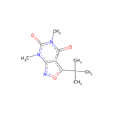 Cn1c(=O)c2c(C(C)(C)C)onc2n(C)c1=O